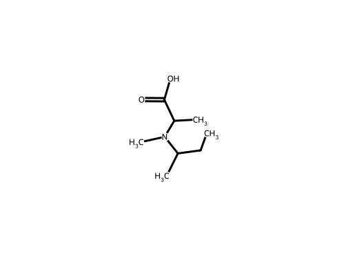 CCC(C)N(C)C(C)C(=O)O